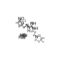 Br.Br.Br.CC1CCN(CCCNC(=N)NN=Cc2ccc([N+](=O)[O-])o2)CC1